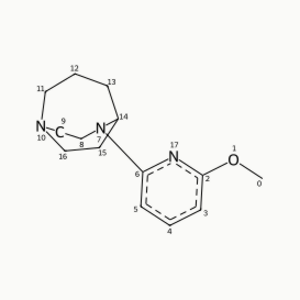 COc1cccc(N2CCN3CCCC2CC3)n1